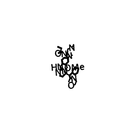 C=CC(=O)N1c2cc(Nc3nccc(-c4c5n(c6ccccc46)CCOC5)n3)c(OC)cc2N(C)C1CN(C)C